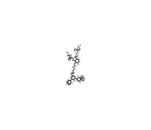 CCOC(=O)CCCOc1cccc(CCCCCCOc2cc(-c3ccncc3)cc(-c3ccc4c(c3)OCO4)c2)c1CCC(=O)OCC